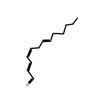 CCCCC/C=C/C/C=C\C=C\C=O